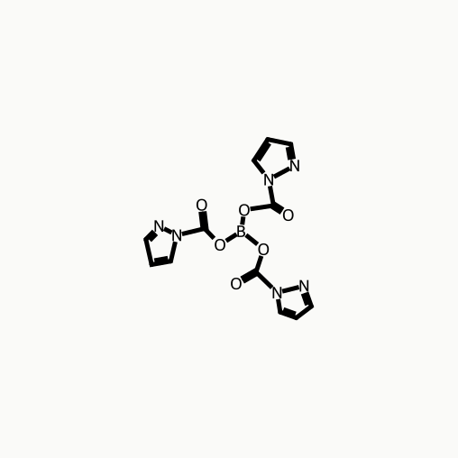 O=C(OB(OC(=O)n1cccn1)OC(=O)n1cccn1)n1cccn1